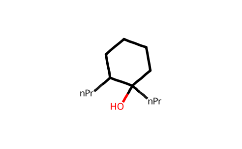 CCCC1CCCCC1(O)CCC